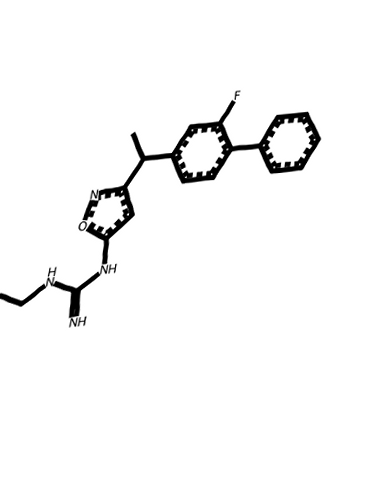 CC(=O)CNC(=N)Nc1cc(C(C)c2ccc(-c3ccccc3)c(F)c2)no1